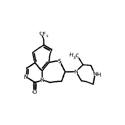 CC1CNCCN1C1CCn2c(=O)ncc3cc(C(F)(F)F)cc(c32)S1